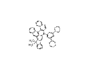 CC1(C)c2ccccc2-c2cc(N(c3cc(C4CCCCC4)cc(C4CCCCC4)c3)c3ccc4ccccc4c3-c3cccc4ccccc34)ccc21